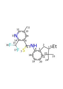 CCC1Cc2c(NC(=S)c3cc(C)cnc3C(F)F)cccc2C1(C)C